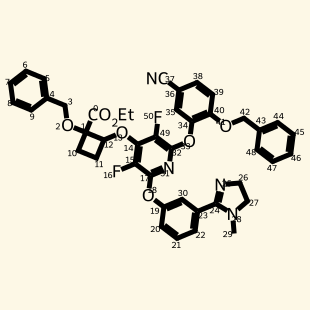 CCOC(=O)C1(OCc2ccccc2)CCC1Oc1c(F)c(Oc2cccc(C3=NCCN3C)c2)nc(Oc2cc(C#N)ccc2OCc2ccccc2)c1F